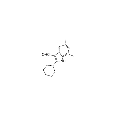 Cc1cc(C)c2[nH]c(C3CCCCC3)c(C=O)c2c1